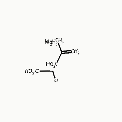 C=C(C)C(=O)O.O=C(O)CCl.[MgH2]